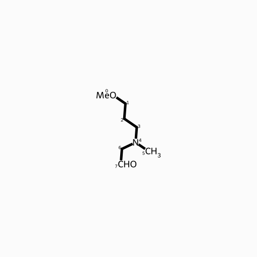 COCCCN(C)CC=O